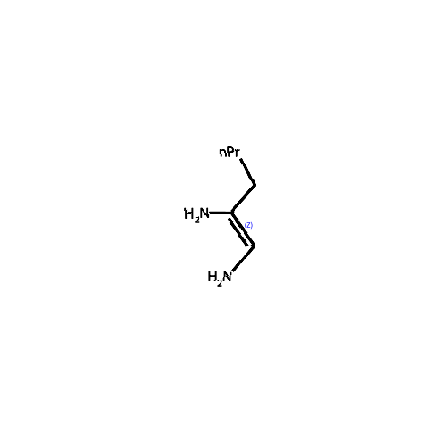 CCCC/C(N)=C/N